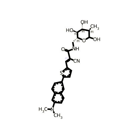 C[C@H]1C(O)O[C@H](CNC(=O)/C(C#N)=C/c2ccc(-c3ccc4cc(N(C)C)ccc4c3)s2)[C@@H](O)[C@@H]1O